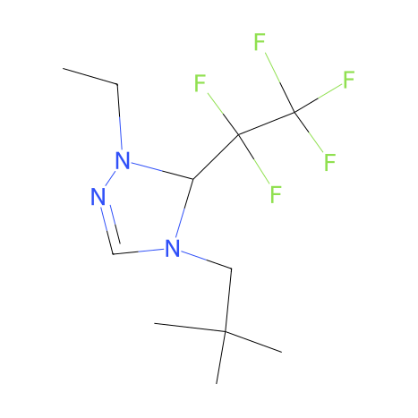 CCN1N=CN(CC(C)(C)C)C1C(F)(F)C(F)(F)F